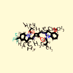 COc1cccc2c1C(C)(C)/C(=C/C1=C(O)C(=C\C3=[N+](CCC(C)C)c4ccc(C(F)(F)F)cc4C3(C)C)/C1=O)N2CCC(C)C